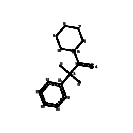 CC(C)(C(=S)N1CCCCC1)c1ccccc1